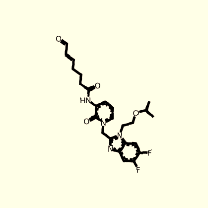 CC(C)OCCn1c(Cn2cccc(NC(=O)CCC/C=C/C=O)c2=O)nc2cc(F)c(F)cc21